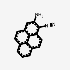 N#[N+]c1c(N)cc2ccc3cccc4ccc1c2c34